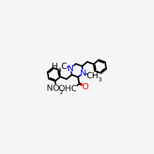 CN1CC(Cc2ccccc2)N(C)C(C(=O)C=O)C1Cc1ccccc1[N+](=O)[O-]